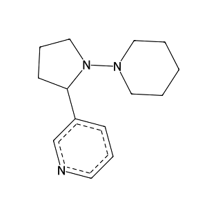 c1cncc(C2CCCN2N2CCCCC2)c1